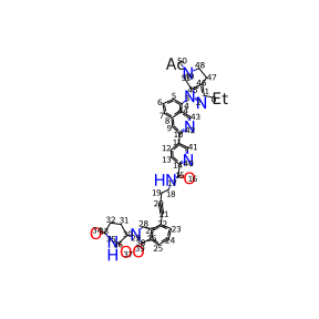 CCc1nn(-c2cccc3cc(-c4ccc(C(=O)NCCC#Cc5cccc6c5CN(C5CCC(=O)NC5=O)C6=O)nc4)ncc23)c2c1CCN(C(C)=O)C2